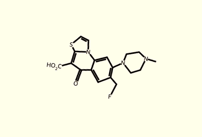 CN1CCN(c2cc3c(cc2CF)c(=O)c(C(=O)O)c2sccn23)CC1